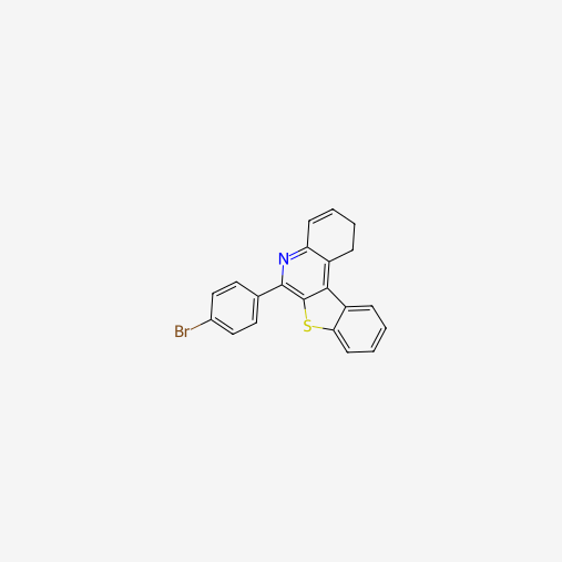 Brc1ccc(-c2nc3c(c4c2sc2ccccc24)CCC=C3)cc1